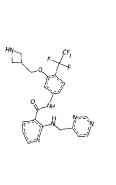 O=C(Nc1ccc(C(F)(F)C(F)(F)F)c(OCC2CNC2)c1)c1cccnc1NCc1ccncn1